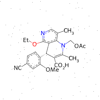 CCOc1ncc(C)c2c1[C@@H](c1ccc(C#N)cc1OC)C(C(=O)O)=C(C)N2COC(C)=O